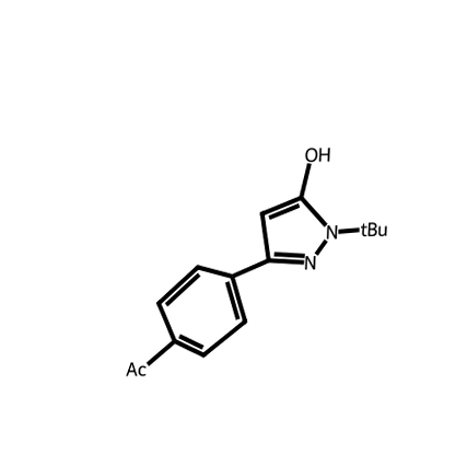 CC(=O)c1ccc(-c2cc(O)n(C(C)(C)C)n2)cc1